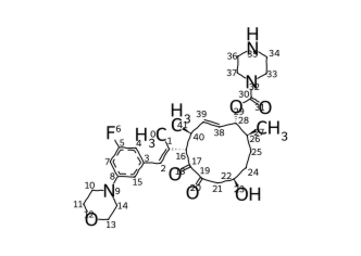 C/C(=C\c1cc(F)cc(N2CCOCC2)c1)[C@H]1C(=O)C(=O)C[C@H](O)CC[C@H](C)[C@@H](OC(=O)N2CCNCC2)/C=C/[C@@H]1C